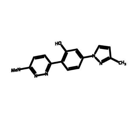 CNc1ccc(-c2ccc(-n3ccc(C)n3)cc2O)nn1